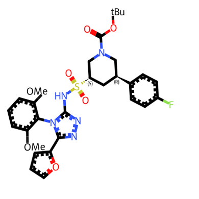 COc1cccc(OC)c1-n1c(NS(=O)(=O)[C@H]2C[C@H](c3ccc(F)cc3)CN(C(=O)OC(C)(C)C)C2)nnc1-c1ccco1